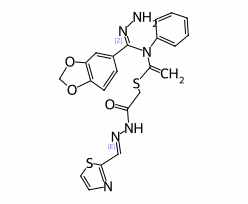 C=C(SCC(=O)N/N=C/c1nccs1)N(/C(=N\N)c1ccc2c(c1)OCO2)c1ccccc1